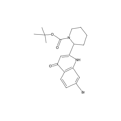 CC(C)(C)OC(=O)N1CCCCC1c1cc(=O)c2ccc(Br)cc2[nH]1